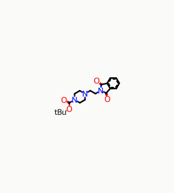 CC(C)(C)OC(=O)N1CCN(CCN2C(=O)c3ccccc3C2=O)CC1